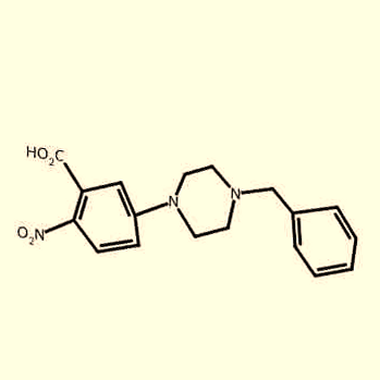 O=C(O)c1cc(N2CCN(Cc3ccccc3)CC2)ccc1[N+](=O)[O-]